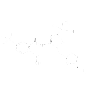 COc1ccc(C(F)(F)F)cc1C(=O)Nc1cc(C(C)(C)C)nn1CC1CC[C@@H](C)O1